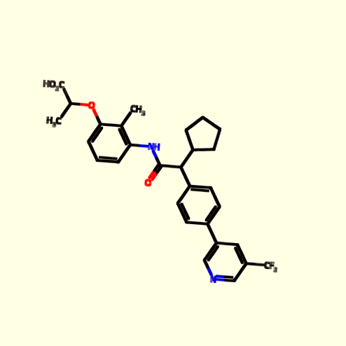 Cc1c(NC(=O)C(c2ccc(-c3cncc(C(F)(F)F)c3)cc2)C2CCCC2)cccc1OC(C)C(=O)O